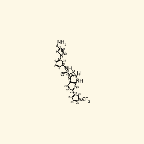 NCc1cn(-c2cccc(NC(=O)C3C[C@H]4CN3c3ccc(-c5cccc(C(F)(F)F)c5)nc3N4)c2)nn1